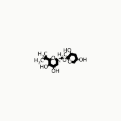 CC(C)C1O[C@H](CO[C@]2(C)OC[C@@H](O)C[C@H]2O)C[C@H](O)[C@H]1O